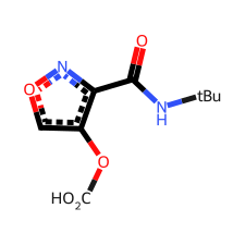 CC(C)(C)NC(=O)c1nocc1OC(=O)O